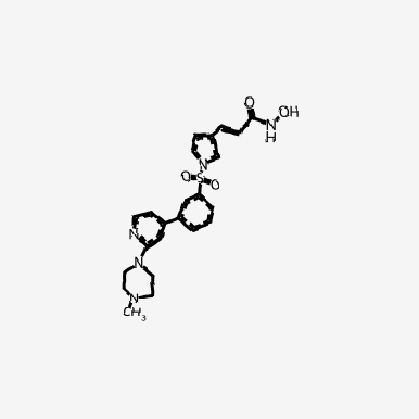 CN1CCN(c2cc(-c3cccc(S(=O)(=O)n4ccc(C=CC(=O)NO)c4)c3)ccn2)CC1